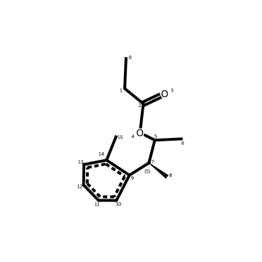 CCC(=O)OC(C)[C@@H](C)c1ccccc1C